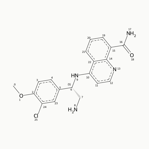 COc1ccc([C@@H](CN)Nc2ccnc3c(C(N)=O)cccc23)cc1Cl